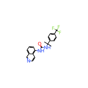 CC(C)(NC(=O)Nc1cccc2cnccc12)c1ccc(C(F)(F)F)cc1